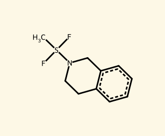 CS(F)(F)N1CCc2ccccc2C1